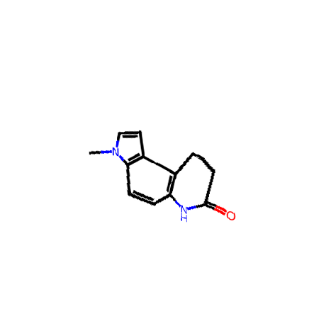 Cn1ccc2c3c(ccc21)NC(=O)CC3